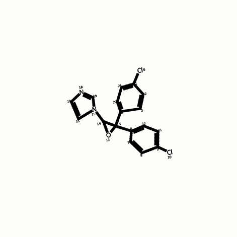 Clc1ccc(C2(c3ccc(Cl)cc3)OC2n2ccnc2)cc1